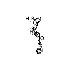 BC1CN(C)CC(COCP(=O)(N(C)C)N2CCN(C(=O)CCSSc3ccccn3)CC2)O1